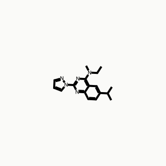 CCN(C)c1nc(-n2cccn2)nc2ccc(C(C)C)cc12